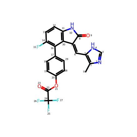 Cc1nc[nH]c1/C=C1\C(=O)Nc2ccc(F)c(-c3ccc(OC(=O)C(F)(F)F)cc3)c21